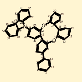 c1ccc(-c2ccc3c(c2)Oc2ccccc2-c2ccccc2Oc2cc(-n4c5ccccc5c5ccccc54)ccc2-3)cc1